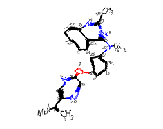 C=C(NC)c1cnc(Oc2cccc(N(C)c3nc(C)nc4ccccc34)c2)cn1